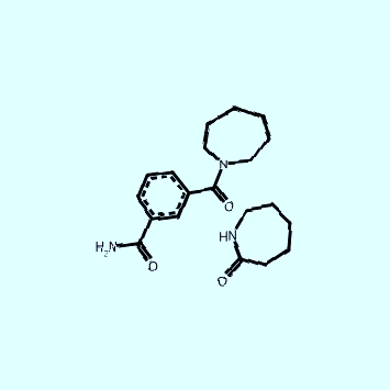 NC(=O)c1cccc(C(=O)N2CCCCCC2)c1.O=C1CCCCCN1